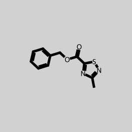 Cc1nsc(C(=O)OCc2ccccc2)n1